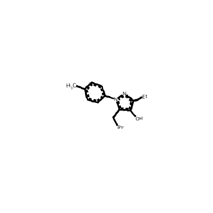 CCc1nn(-c2ccc(C)cc2)c(CC(C)C)c1O